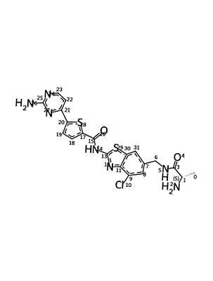 C[C@H](N)C(=O)NCc1cc(Cl)c2nc(NC(=O)c3ccc(-c4ccnc(N)n4)s3)sc2c1